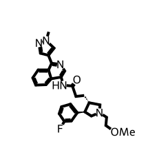 COCCN1C[C@@H](CCC(=O)Nc2cnc(-c3cnn(C)c3)c3ccccc23)[C@H](c2cccc(F)c2)C1